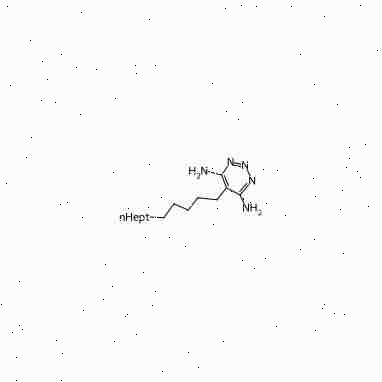 CCCCCCCCCCCCc1c(N)nnnc1N